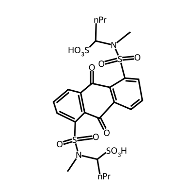 CCCC(N(C)S(=O)(=O)c1cccc2c1C(=O)c1cccc(S(=O)(=O)N(C)C(CCC)S(=O)(=O)O)c1C2=O)S(=O)(=O)O